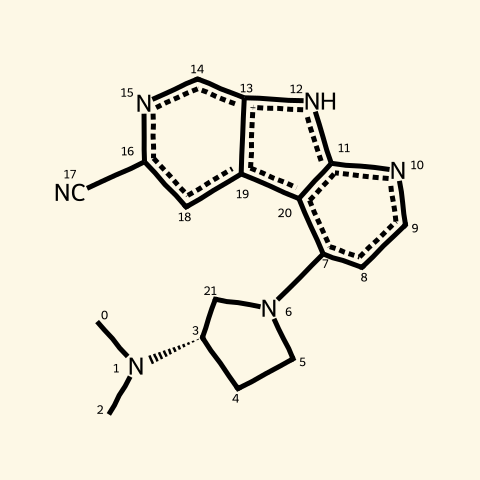 CN(C)[C@H]1CCN(c2ccnc3[nH]c4cnc(C#N)cc4c23)C1